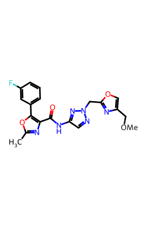 COCc1coc(Cn2ncc(NC(=O)c3nc(C)oc3-c3cccc(F)c3)n2)n1